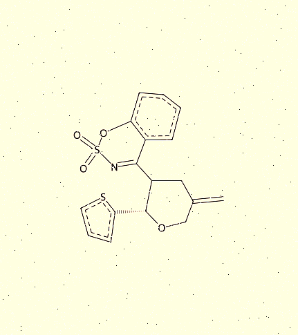 C=C1CO[C@H](c2cccs2)C(C2=NS(=O)(=O)Oc3ccccc32)C1